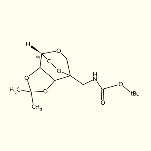 CC(C)(C)OC(=O)NCC12CO[C@H](CO1)C1OC(C)(C)OC12